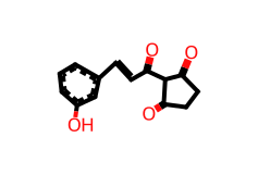 O=C(C=Cc1cccc(O)c1)C1C(=O)CCC1=O